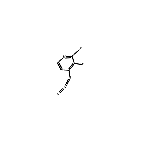 [N-]=[N+]=Nc1ccnc(F)c1F